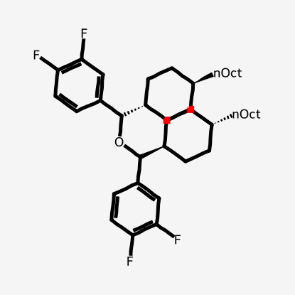 CCCCCCCC[C@H]1CC[C@H](C(OC(c2ccc(F)c(F)c2)[C@H]2CC[C@H](CCCCCCCC)CC2)c2ccc(F)c(F)c2)CC1